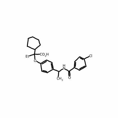 CCC(Oc1ccc(C(C)NC(=O)c2ccc(Cl)cc2)cc1)(C(=O)O)C1CCCCC1